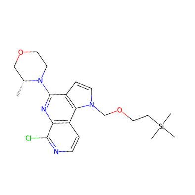 C[C@@H]1COCCN1c1nc2c(Cl)nccc2c2c1ccn2COCC[Si](C)(C)C